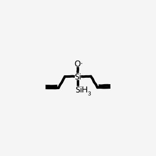 C=CC[Si]([O])([SiH3])CC=C